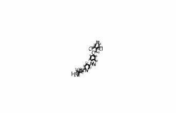 C[C@@H](Oc1ccc2c(cnn2-c2ccc(N3CC4(CNC4)C3)nc2)c1)c1c(Cl)cncc1Cl